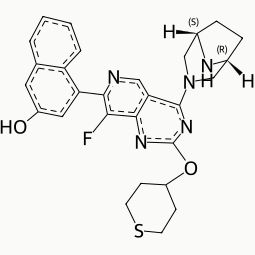 Oc1cc(-c2ncc3c(N4C[C@H]5CC[C@@H](C4)N5)nc(OC4CCSCC4)nc3c2F)c2ccccc2c1